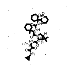 CCC[C@H](NC(=O)[C@@H]1[C@@H]2[C@H](CN1C(=O)[C@@H](NC(=O)NC1(C3CCCCS3(=O)=O)CCCCC1)C1(C)CCCCC1)C2(C)C)C(=O)C(=O)NC1CC1